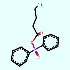 CCCCC(=O)OP(=O)(c1ccccc1)c1ccccc1